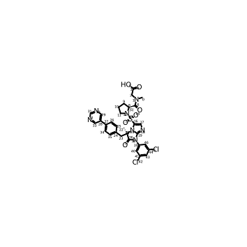 CN(CC(=O)O)C(=O)[C@@H]1CCCN1S(=O)(=O)c1cnc2n1[C@](C)(Cc1ccc(-c3cncnc3)cc1)C(=O)N2c1cc(Cl)cc(Cl)c1